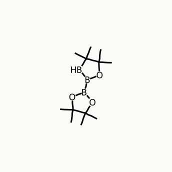 CC1(C)BB(B2OC(C)(C)C(C)(C)O2)OC1(C)C